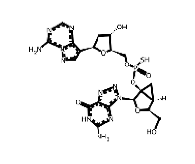 Nc1nc2c(nnn2[C@@H]2O[C@H](CO)[C@@H]3C[C@]32OP(=O)(S)OC[C@H]2O[C@@H](c3cnn4c(N)ncnc34)C[C@@H]2O)c(=O)[nH]1